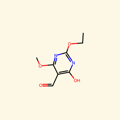 CCOc1nc(O)c(C=O)c(OC)n1